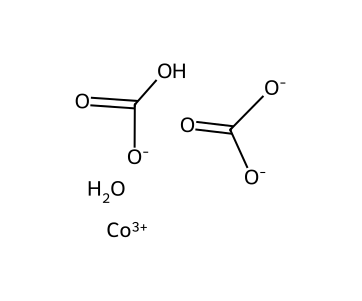 O.O=C([O-])O.O=C([O-])[O-].[Co+3]